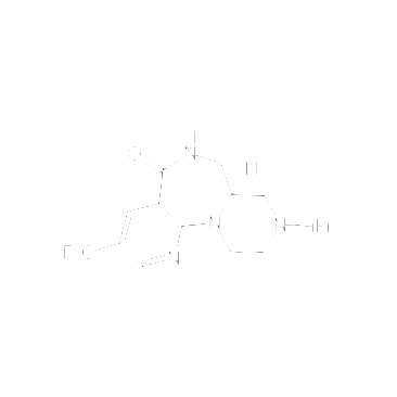 CC(C)N1CCN2c3ncc(C(F)(F)F)cc3C(=O)NC[C@H]2C1